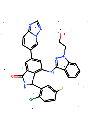 O=C1NC(c2cc(F)ccc2Cl)c2c(Nc3nn(CCO)c4ccccc34)cc(-c3ccc4ncnn4c3)cc21